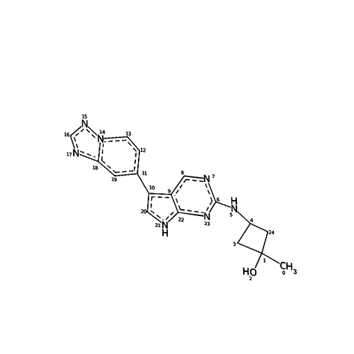 CC1(O)CC(Nc2ncc3c(-c4ccn5ncnc5c4)c[nH]c3n2)C1